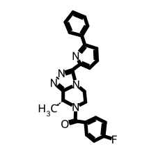 C[C@@H]1c2nnc(-c3cccc(-c4ccccc4)n3)n2CCN1C(=O)c1ccc(F)cc1